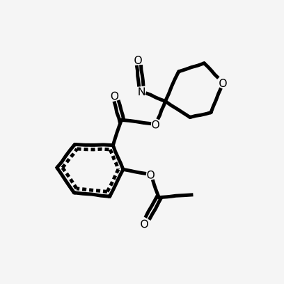 CC(=O)Oc1ccccc1C(=O)OC1(N=O)CCOCC1